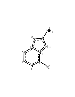 Nc1nc2ccnc(Br)n2n1